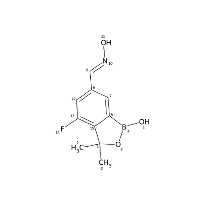 CC1(C)OB(O)c2cc(C=NO)cc(F)c21